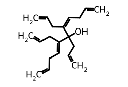 C=CCC=C(CC=C)C(O)(CC=C)C(=CCC=C)CC=C